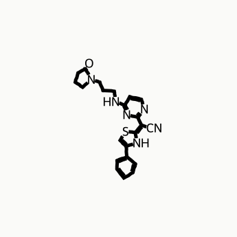 N#C/C(=C1\NC(c2ccccc2)=CS1)c1nccc(NCCCN2CCCC2=O)n1